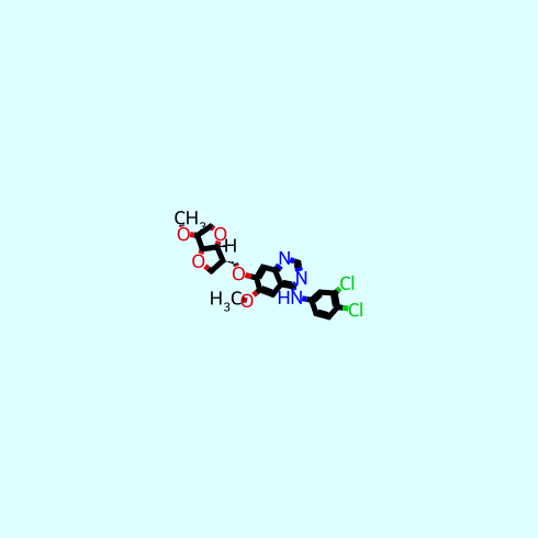 COc1cc2c(Nc3ccc(Cl)c(Cl)c3)ncnc2cc1OC[C@@H]1COC2C(OC)CO[C@H]21